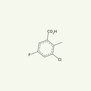 Cc1c(Cl)cc(F)cc1C(=O)O